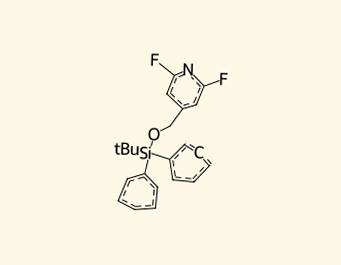 CC(C)(C)[Si](OCc1cc(F)nc(F)c1)(c1ccccc1)c1ccccc1